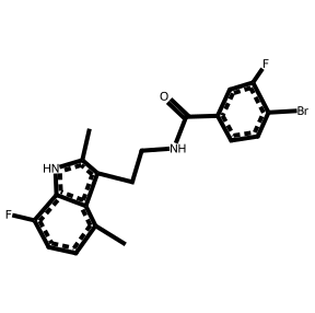 Cc1[nH]c2c(F)ccc(C)c2c1CCNC(=O)c1ccc(Br)c(F)c1